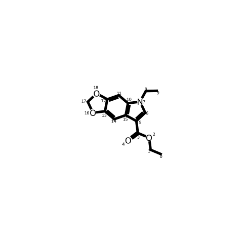 CCOC(=O)c1cn(CC)c2cc3c(cc12)OCO3